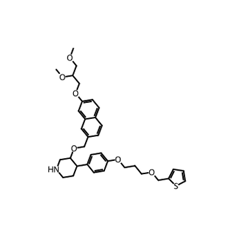 COCC(COc1ccc2ccc(COC3CNCCC3c3ccc(OCCCOCc4cccs4)cc3)cc2c1)OC